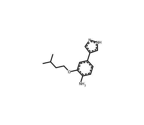 CC(C)CCOc1cc(-c2cn[nH]c2)ccc1N